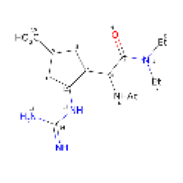 CCN(CC)C(=O)C(NC(C)=O)C1CC(C(=O)O)CC1NC(=N)N